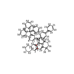 Cc1ccc2c(c1-c1cc3c(cc1N(c1ccc(-c4ccccc4)cc1)c1cccc4c1C(C)(C)CCC4(C)C)C(c1ccccc1)(c1ccccc1)c1ccccc1-3)CCCC2